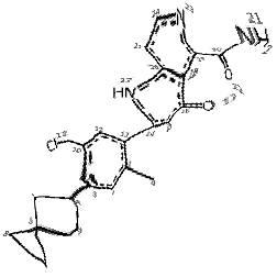 Cc1cc(C2CC3(CC3)C2)c(Cl)cc1-c1cc(=O)c2c(C(N)=O)nccc2[nH]1